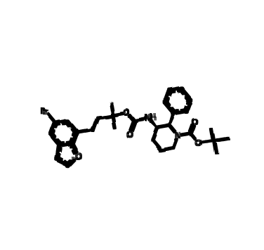 CC(C)(C)OC(=O)N1CCC[C@@H](NC(=O)OC(C)(C)CCc2cc(Br)cc3ccoc23)[C@H]1c1ccccc1